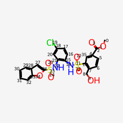 COC(=O)c1ccc(CO)c(S(=O)(=O)Nc2ccc(Cl)cc2NS(=O)(=O)c2cc3ccccc3o2)c1